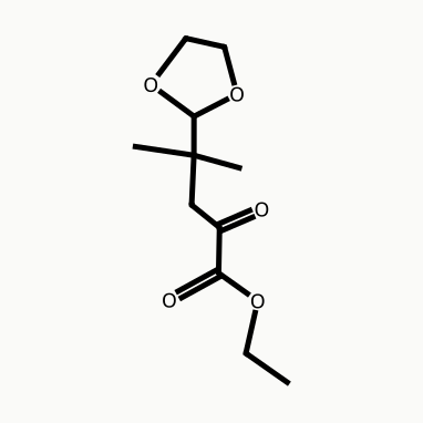 CCOC(=O)C(=O)CC(C)(C)C1OCCO1